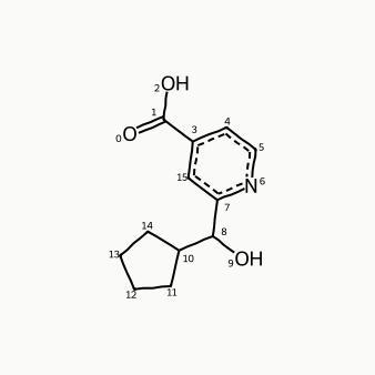 O=C(O)c1ccnc(C(O)C2CCCC2)c1